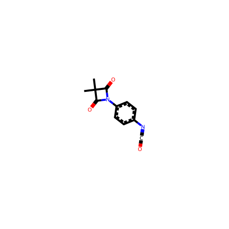 CC1(C)C(=O)N(c2ccc(N=C=O)cc2)C1=O